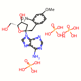 COc1ccc(C[C@]2(n3cnc4c(N)ncnc43)C[C@H](O)[C@@H](CO)O2)c([N+](=O)[O-])c1.O=P(O)(O)O.O=P(O)(O)O.O=P(O)(O)O